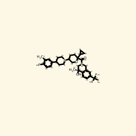 Cc1cc(C2CCN(C3CCC(C(=O)N4Cc5cc(C(F)(F)F)ccc5[C@](C)(O)C4)(C4CC4)OC3)CC2)ccc1F